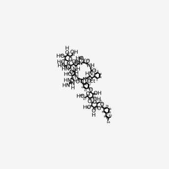 CCC(c1ccccc1)C1NC(=O)CNC(=O)C(CO)NC(=O)C(C(O)C2CNC(=N)N2C2OC(CO)C(O)C(O)C2O)NC(=O)C(C(O)C2CNC(=N)N2)NC(=O)C(Cc2ccc(OC3OC(CO)C(OC4OC5COC(c6cccc(C=C(C)C)c6)OC5C(O)C4O)C(O)C3O)cc2)NC1=O